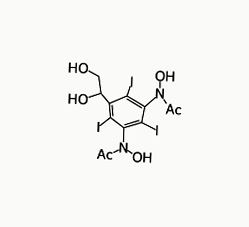 CC(=O)N(O)c1c(I)c(C(O)CO)c(I)c(N(O)C(C)=O)c1I